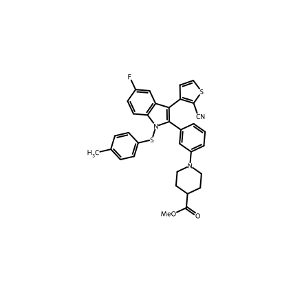 COC(=O)C1CCN(c2cccc(-c3c(-c4ccsc4C#N)c4cc(F)ccc4n3Sc3ccc(C)cc3)c2)CC1